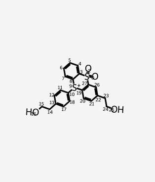 O=S1(=O)c2ccccc2[S+](c2ccc(CCO)cc2)c2ccc(CCO)cc21